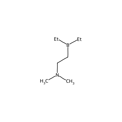 CCB(CC)CCN(C)C